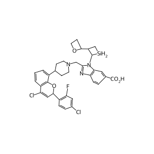 O=C(O)c1ccc2nc(CN3CCC(c4cccc5c4OC(c4ccc(Cl)cc4F)C=C5Cl)CC3)n(C3[SiH2]CC3C3CCO3)c2c1